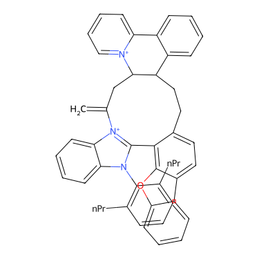 C=C1CC2C(CCc3ccc4c(oc5ccccc54)c3-c3n(-c4c(CCC)cccc4CCC)c4ccccc4[n+]31)c1ccccc1-c1cccc[n+]12